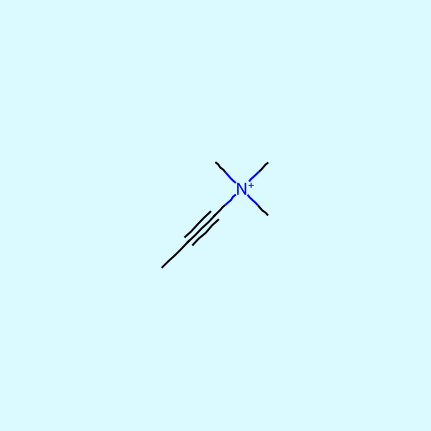 CC#C[N+](C)(C)C